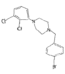 Clc1cccc(N2CCN(Cc3ccc(Br)cc3)CC2)c1Cl